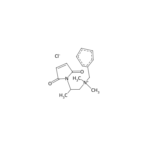 CC(C[N+](C)(C)Cc1ccccc1)N1C(=O)C=CC1=O.[Cl-]